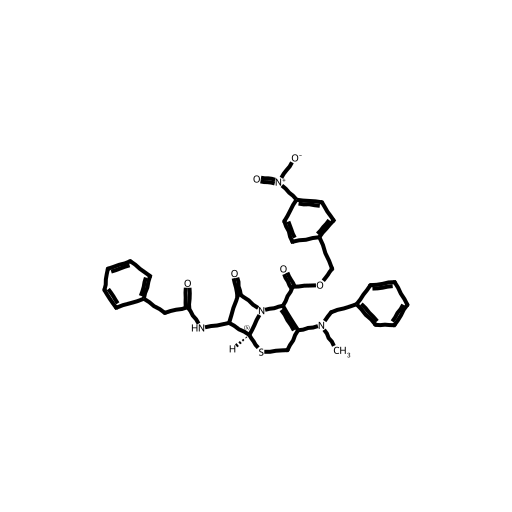 CN(Cc1ccccc1)C1=C(C(=O)OCc2ccc([N+](=O)[O-])cc2)N2C(=O)C(NC(=O)Cc3ccccc3)[C@@H]2SC1